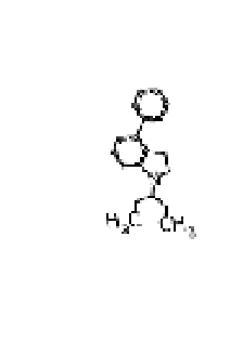 CCC(CC)N1CCc2c(-c3ccccc3)cccc21